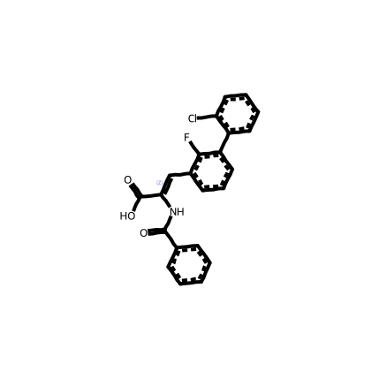 O=C(O)/C(=C/c1cccc(-c2ccccc2Cl)c1F)NC(=O)c1ccccc1